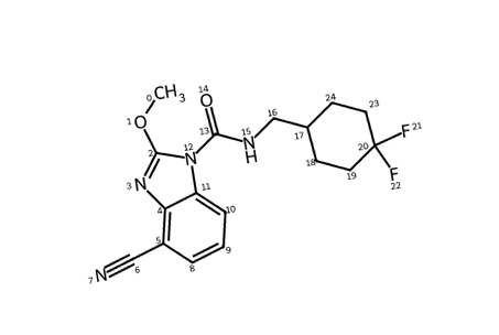 COc1nc2c(C#N)cccc2n1C(=O)NCC1CCC(F)(F)CC1